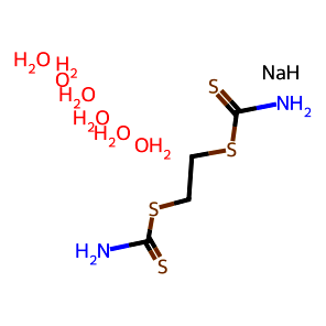 NC(=S)SCCSC(N)=S.O.O.O.O.O.O.[NaH]